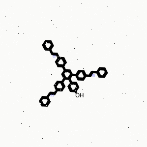 Oc1ccc(-c2c(-c3ccc(/C=C/c4ccccc4)cc3)cc(-c3ccc(/C=C/c4ccccc4)cc3)cc2-c2ccc(/C=C/c3ccccc3)cc2)cc1